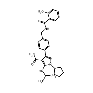 Cc1ccccc1C(=O)NCc1ccc(-c2nn(C3CCCC3)c(NC(C)C)c2C(N)=O)cc1